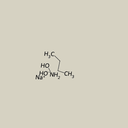 CCCC.NO.[Na+].[OH-]